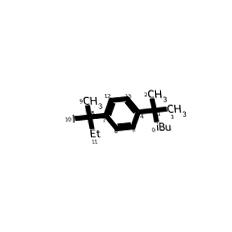 CCC(C)C(C)(C)c1ccc(C(C)(I)CC)cc1